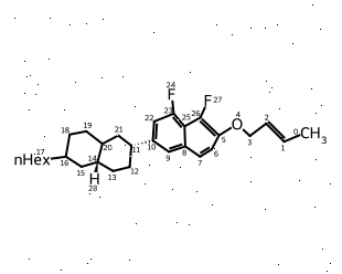 C/C=C/COc1ccc2cc([C@@H]3CC[C@@H]4CC(CCCCCC)CCC4C3)cc(F)c2c1F